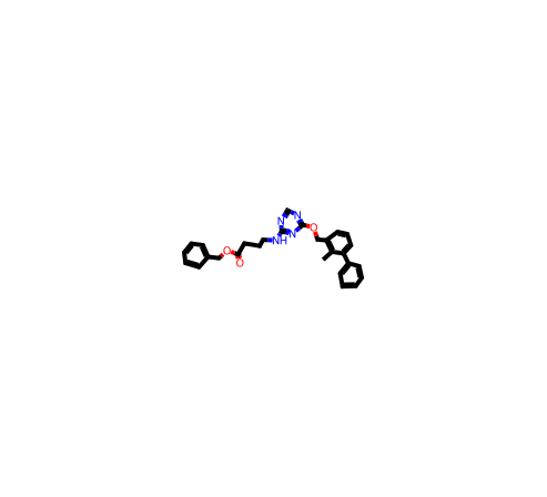 Cc1c(COc2ncnc(NCCCC(=O)OCc3ccccc3)n2)cccc1-c1ccccc1